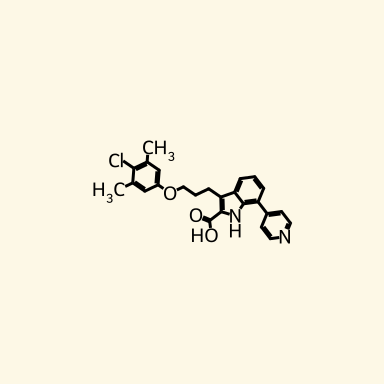 Cc1cc(OCCCc2c(C(=O)O)[nH]c3c(-c4ccncc4)cccc23)cc(C)c1Cl